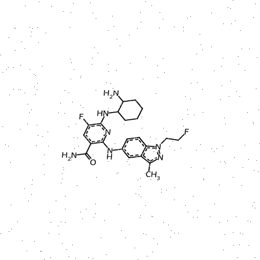 Cc1nn(CCF)c2ccc(Nc3nc(NC4CCCCC4N)c(F)cc3C(N)=O)cc12